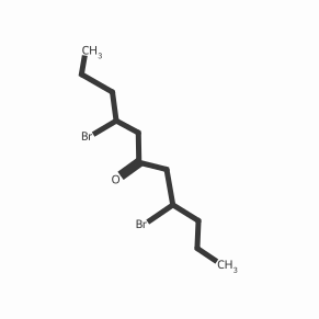 CCCC(Br)CC(=O)CC(Br)CCC